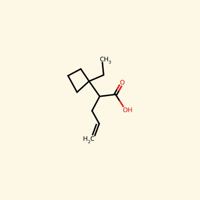 C=CCC(C(=O)O)C1(CC)CCC1